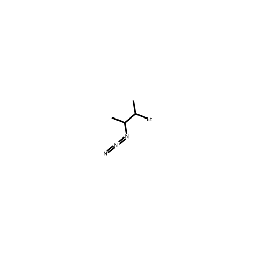 CCC(C)C(C)N=[N+]=[N-]